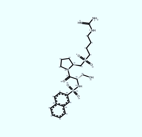 N=C(N)NCCCCS(=O)(=O)C[C@@H]1CCCN1C(=O)[C@H](CO)NS(=O)(=O)c1ccc2ccccc2c1